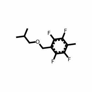 Cc1c(F)c(F)c(COCC(C)C)c(F)c1F